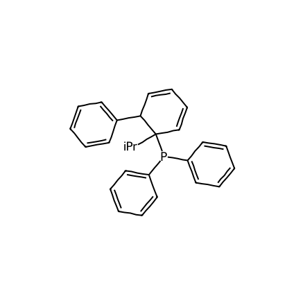 CC(C)C1(P(c2ccccc2)c2ccccc2)C=CC=CC1c1ccccc1